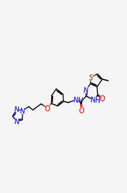 Cc1csc2nc(C(=O)NCc3cccc(OCCCn4cncn4)c3)[nH]c(=O)c12